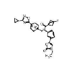 CCn1cc(-c2cccc(N(CC34CCC(c5nc(C6CC6)no5)(CC3)CC4)C(=O)C34CC(F)(C3)C4)c2)oc1=O